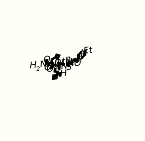 CCN1CCN(C(=O)Cc2csc(N[C@H](C(=O)N3C[C@]4(C[C@H]3C(=O)NC(CC3CCC3)C(=O)C(N)=O)C(C)(C)C43CCC3)C(C)(C)C)n2)CC1